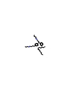 CCCC/C=C/CCCc1ccccc1N=C(C=CCCCCC)C(CCCCC)=Nc1ccccc1CCC/C=C/CCCC.[Pd]